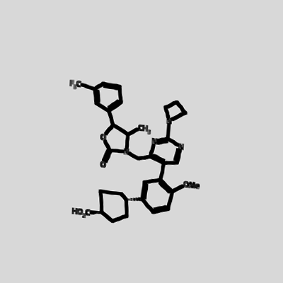 COc1ccc([C@H]2CC[C@H](C(=O)O)CC2)cc1-c1cnc(N2CCC2)nc1CN1C(=O)OC(c2cccc(C(F)(F)F)c2)C1C